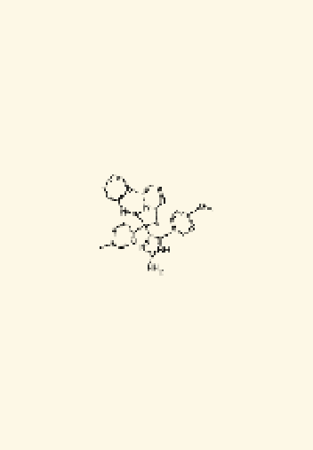 COc1ccc(-c2[nH]c(N)nc2C2(c3ccc(C)cc3)N=C3N=CC=C4c5ccccc5N=C2N43)cc1